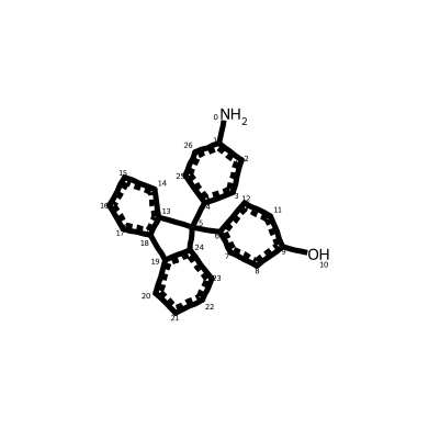 Nc1ccc(C2(c3ccc(O)cc3)c3ccccc3-c3ccccc32)cc1